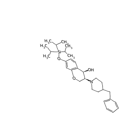 CC(C)[Si](Oc1ccc2c(c1)OC[C@H](N1CCC(Cc3ccccc3)CC1)[C@@H]2O)(C(C)C)C(C)C